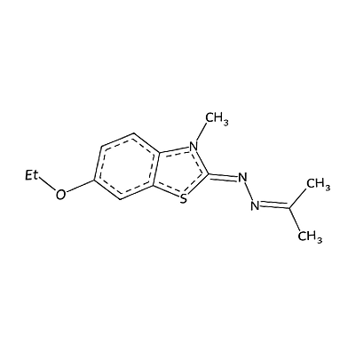 CCOc1ccc2c(c1)sc(=NN=C(C)C)n2C